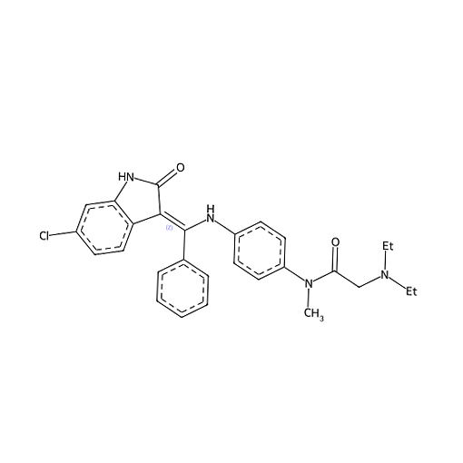 CCN(CC)CC(=O)N(C)c1ccc(N/C(=C2\C(=O)Nc3cc(Cl)ccc32)c2ccccc2)cc1